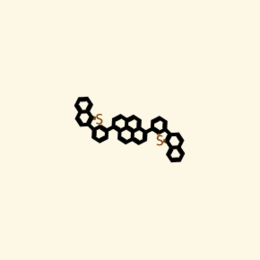 c1ccc2c(c1)ccc1c3cccc(-c4ccc5ccc6c(-c7cccc8c7sc7c9ccccc9ccc87)ccc7ccc4c5c76)c3sc21